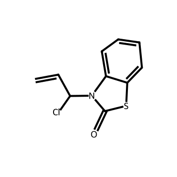 C=CC(Cl)n1c(=O)sc2ccccc21